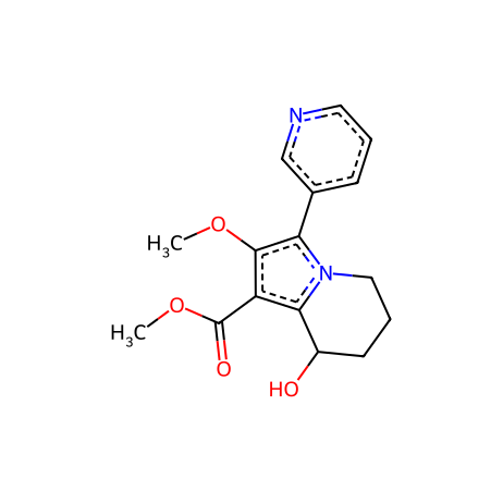 COC(=O)c1c(OC)c(-c2cccnc2)n2c1C(O)CCC2